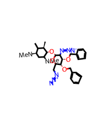 CNC1C[C@@H](NC)C(C)[C@@H](C)[C@@H]1O[C@H]1OC(CN=[N+]=[N-])[C@@H](OCc2ccccc2)[C@@H](OCc2ccccc2)C1N=[N+]=[N-]